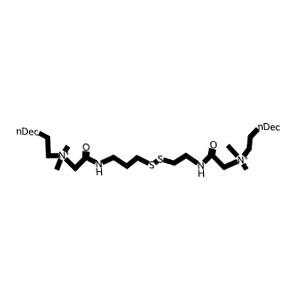 CCCCCCCCCCCC[N+](C)(C)CC(=O)NCCCSSCCNC(=O)C[N+](C)(C)CCCCCCCCCCCC